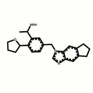 CNC(C)c1cc(Cn2cnc3cc4c(cc32)CCC4)ccc1C1CCCO1